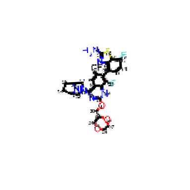 Nc1nc2c(-c3c(C(F)(F)F)cc4c(N5CC6CCC(C5)N6)nc(OC[C@@H]5COCCO5)nc4c3F)ccc(F)c2s1